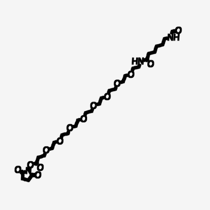 O=CNCCCCCC(=O)NCCOCCOCCOCCOCCOCCOCCOCCOCCC(=O)ON1C(=O)CCC1=O